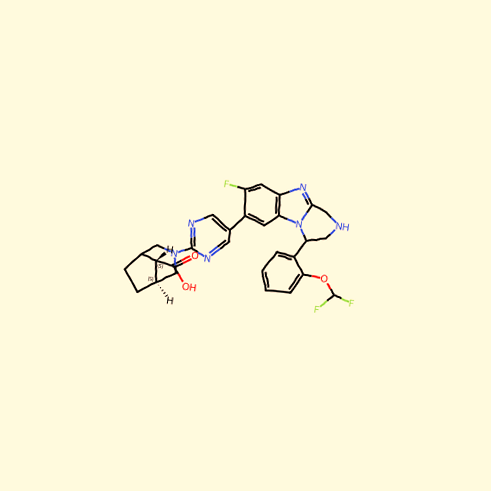 O=C(O)[C@H]1C2CC[C@@H]1CN(c1ncc(-c3cc4c(cc3F)nc3n4C(c4ccccc4OC(F)F)CNC3)cn1)C2